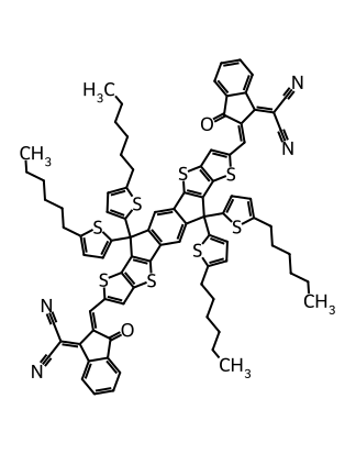 CCCCCCc1ccc(C2(c3ccc(CCCCCC)s3)c3cc4c(cc3-c3sc5cc(/C=C6\C(=O)c7ccccc7C6=C(C#N)C#N)sc5c32)C(c2ccc(CCCCCC)s2)(c2ccc(CCCCCC)s2)c2c-4sc3cc(/C=C4\C(=O)c5ccccc5C4=C(C#N)C#N)sc23)s1